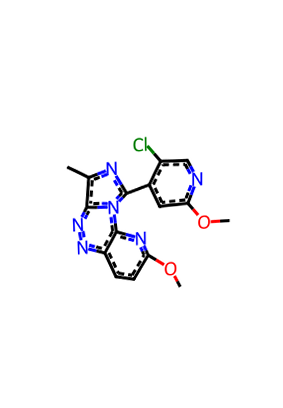 COc1cc(-c2nc(C)c3nnc4ccc(OC)nc4n23)c(Cl)cn1